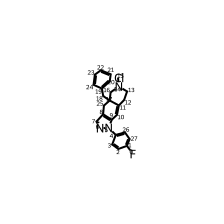 Fc1ccc(-n2ncc3c2C=C2CCN(Cl)CC2(Cc2ccccc2)C3)cc1